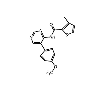 Cc1ccsc1C(=O)Nc1ncncc1-c1ccc(OC(F)(F)F)cc1